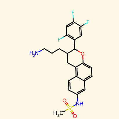 CS(=O)(=O)Nc1ccc2c3c(ccc2c1)OC(c1cc(F)c(F)cc1F)C(CCCN)C3